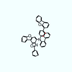 c1ccc(-c2nc3c(N(c4ccc(-c5cccc6c5oc5ccccc56)cc4)c4ccccc4-c4ccccc4)cc4oc5ccccc5c4c3o2)cc1